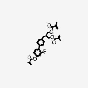 C=C(C)C(=O)OCC(COC(=O)C(=C)C)Cc1ccc(-c2ccc(OC(=O)C(=C)C)cc2F)cc1